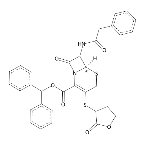 O=C(Cc1ccccc1)NC1C(=O)N2C(C(=O)OC(c3ccccc3)c3ccccc3)=C(SC3CCOC3=O)CS[C@H]12